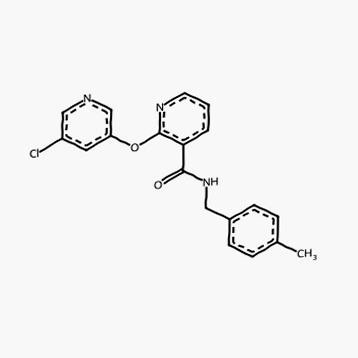 Cc1ccc(CNC(=O)c2cccnc2Oc2cncc(Cl)c2)cc1